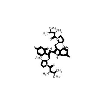 CO[C@H](C)[C@H](N)C(=O)N1CC[C@H](OC(C)=O)[C@H]1Cc1c(-c2[nH]c3cc(F)ccc3c2C[C@@H]2[C@@H](OC(C)=O)CCN2C(=O)[C@@H](N)[C@@H](C)OC)[nH]c2cc(F)ccc12